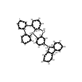 c1ccc2c(c1)-c1ccccc1N1c3ccc(-n4c5ccccc5c5ccccc54)cc3Oc3cccc-2c31